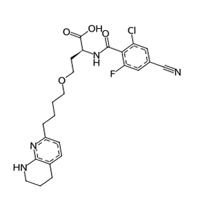 N#Cc1cc(F)c(C(=O)N[C@@H](CCOCCCCc2ccc3c(n2)NCCC3)C(=O)O)c(Cl)c1